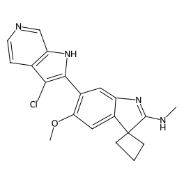 CNC1=Nc2cc(-c3[nH]c4cnccc4c3Cl)c(OC)cc2C12CCC2